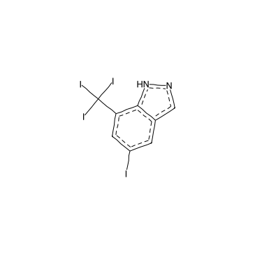 Ic1cc(C(I)(I)I)c2[nH]ncc2c1